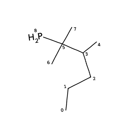 CCCC(C)C(C)(C)P